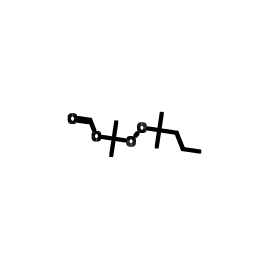 CCCC(C)(C)OOC(C)(C)OC=O